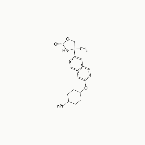 CCCC1CCC(Oc2ccc3cc(C4(C)COC(=O)N4)ccc3c2)CC1